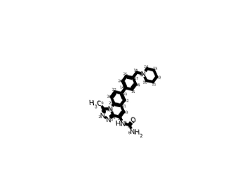 Cc1nnc2c(NC(N)=O)cc3cc(-c4ccc(CN5CCCCC5)cc4)ccc3n12